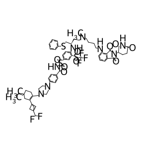 CN(CCCCNc1cccc2c1C(=O)N(C1CCC(=O)NC1=O)C2=O)CC[C@H](CSc1ccccc1)Nc1ccc(S(=O)(=O)NC(=O)c2ccc(N3CCN(CC4=C(C56CC(C(F)F)(C5)C6)CC(C)(C)CC4)CC3)cc2)cc1S(=O)(=O)C(F)(F)F